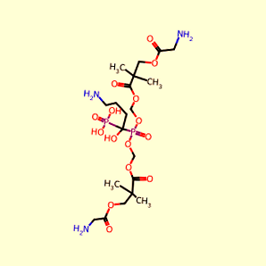 CC(C)(COC(=O)CN)C(=O)OCOP(=O)(OCOC(=O)C(C)(C)COC(=O)CN)C(O)(CCCN)P(=O)(O)O